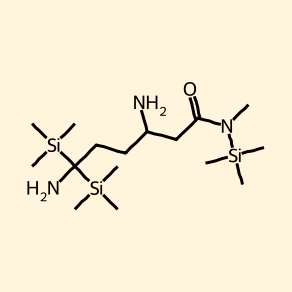 CN(C(=O)CC(N)CCC(N)([Si](C)(C)C)[Si](C)(C)C)[Si](C)(C)C